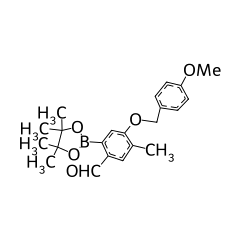 COc1ccc(COc2cc(B3OC(C)(C)C(C)(C)O3)c(C=O)cc2C)cc1